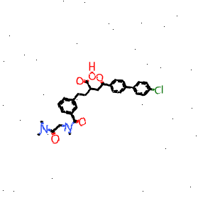 CN(C)C(=O)CN(C)C(=O)c1cccc(CCC(CC(=O)c2ccc(-c3ccc(Cl)cc3)cc2)C(=O)O)c1